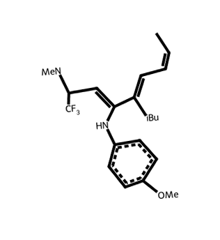 C\C=C/C=C(/C(=C/C(NC)C(F)(F)F)Nc1ccc(OC)cc1)C(C)CC